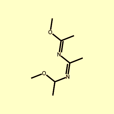 CO/C(C)=N/C(C)=N\C(C)OC